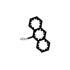 CCCCCCCCc1c2c[c]ccc2cc2ccccc12